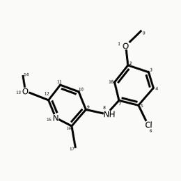 COc1ccc(Cl)c(Nc2ccc(OC)nc2C)c1